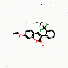 C=COc1ccc2cc(-c3ccccc3C(F)(F)C(F)(F)F)c(=O)oc2c1